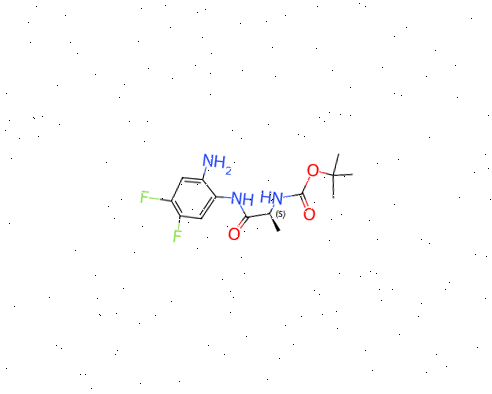 C[C@H](NC(=O)OC(C)(C)C)C(=O)Nc1cc(F)c(F)cc1N